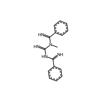 CN(C(=N)NC(=N)c1ccccc1)C(=N)c1ccccc1